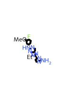 CCn1c(-c2ccnc(N)n2)nc2cnc(Nc3ccc(F)c(OC)c3)nc21